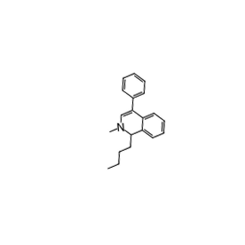 CCCCC1c2ccccc2C(c2ccccc2)=CN1C